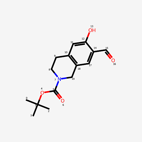 CC(C)(C)OC(=O)N1CCc2cc(O)c(C=O)cc2C1